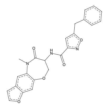 CN1C(=O)C(NC(=O)c2cc(Cc3ccccc3)on2)COc2cc3occc3cc21